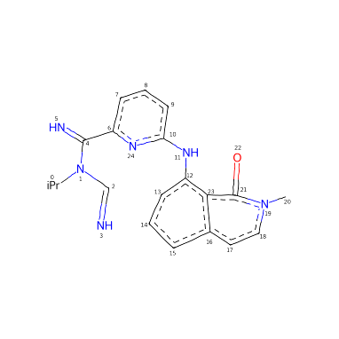 CC(C)N(C=N)C(=N)c1cccc(Nc2cccc3ccn(C)c(=O)c23)n1